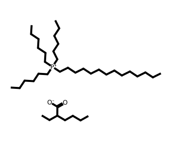 CCCCC(CC)C(=O)[O-].CCCCCCCCCCCCCC[P+](CCCCCC)(CCCCCC)CCCCCC